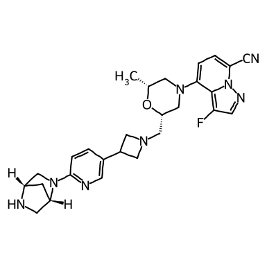 C[C@@H]1CN(c2ccc(C#N)n3ncc(F)c23)C[C@H](CN2CC(c3ccc(N4C[C@@H]5C[C@H]4CN5)nc3)C2)O1